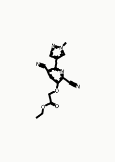 CCOC(=O)COc1cc(C#N)c(-c2cnn(C)c2)nc1C#N